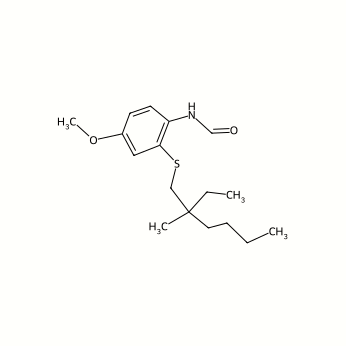 CCCCC(C)(CC)CSc1cc(OC)ccc1NC=O